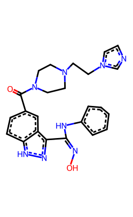 O=C(c1ccc2[nH]nc(/C(=N\O)Nc3ccccc3)c2c1)N1CCN(CCn2ccnc2)CC1